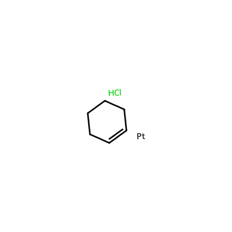 C1=CCCCC1.Cl.[Pt]